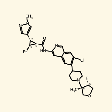 CC[C@@H]1[C@H](C(=O)Nc2cc3cc(C4CCN([C@@]5(C)COC[C@H]5F)CC4)c(Cl)cc3cn2)[C@H]1c1cnn(C)c1